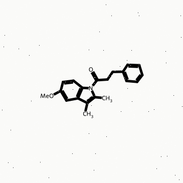 COc1ccc2c(c1)c(C)c(C)n2C(=O)CCc1ccccc1